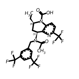 CC[C@@H]1C[C@H](N(Cc2cc(C(F)(F)F)cc(C(F)(F)F)c2)C(C)=O)c2nc(C(F)(F)F)ccc2N1C(=O)O